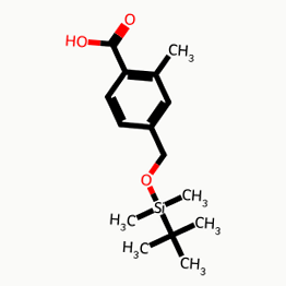 Cc1cc(CO[Si](C)(C)C(C)(C)C)ccc1C(=O)O